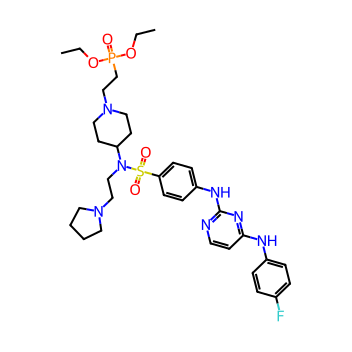 CCOP(=O)(CCN1CCC(N(CCN2CCCC2)S(=O)(=O)c2ccc(Nc3nccc(Nc4ccc(F)cc4)n3)cc2)CC1)OCC